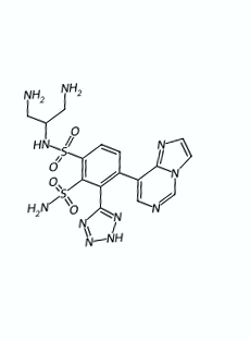 NCC(CN)NS(=O)(=O)c1ccc(-c2cncn3ccnc23)c(-c2nn[nH]n2)c1S(N)(=O)=O